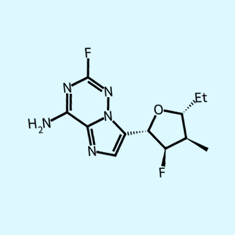 CC[C@H]1O[C@@H](c2cnc3c(N)nc(F)nn23)[C@H](F)[C@@H]1C